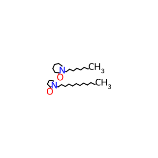 CCCCCCCCCCCCN1CCCC1=O.CCCCCCCCN1CCCCCC1=O